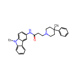 CCn1c2ccccc2c2cc(NC(=O)CCN3CCC(C#N)(c4ccccc4)CC3)ccc21